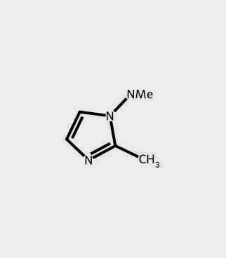 CNn1ccnc1C